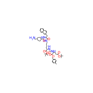 Cc1ccc(COC(=O)C(CCC(=O)OC(C)(C)C)NC(=O)NC(CCCCNC(=O)C(Cc2ccc3ccccc3c2)NC(=O)C2CCC(CN)CC2)C(=O)OC(C)(C)C)cc1